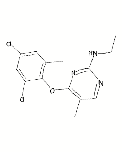 CCNc1ncc(C)c(Oc2c(C)cc(Cl)cc2Cl)n1